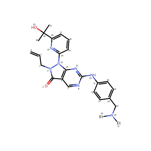 C=CCn1c(=O)c2cnc(Nc3ccc(CN(CC)CC)cc3)nc2n1-c1cccc(C(C)(C)O)n1